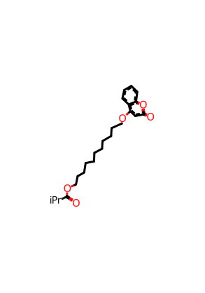 CC(C)C(=O)OCCCCCCCCCCCOc1cc(=O)oc2ccccc12